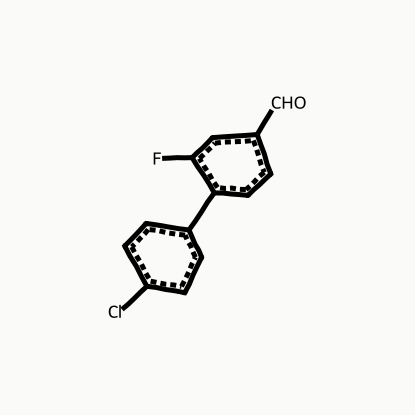 O=Cc1ccc(-c2ccc(Cl)cc2)c(F)c1